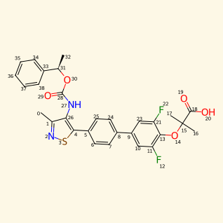 Cc1nsc(-c2ccc(-c3cc(F)c(OC(C)(C)C(=O)O)c(F)c3)cc2)c1NC(=O)O[C@H](C)c1ccccc1